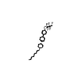 CCCCCCCC[C@H]1CC[C@H](C2CCC(C3=CCC(OC(F)(F)C(F)(F)CF)C=C3)CC2)CC1